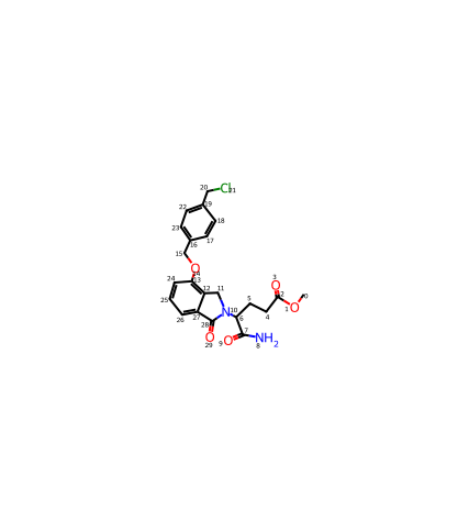 COC(=O)CCC(C(N)=O)N1Cc2c(OCc3ccc(CCl)cc3)cccc2C1=O